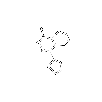 Cn1nc(-c2cccs2)c2ccccc2c1=O